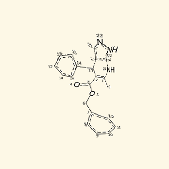 CC1=C(C(=O)OCc2ccccc2)C(c2ccccc2)c2cn[nH]c2N1